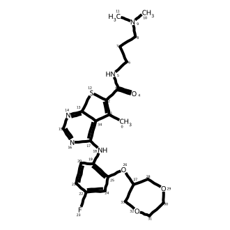 Cc1c(C(=O)NCCCN(C)C)sc2ncnc(Nc3ccc(F)cc3OC3COCCOC3)c12